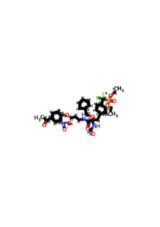 CCOP(=O)(OCC)C(F)(F)c1ccc(CC(NC=O)(OCc2ccccc2)C(=O)NCCCOc2ccc(C(C)=O)cc2[N+](=O)[O-])cc1